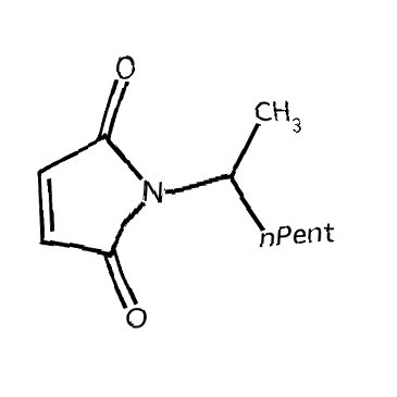 CCCCCC(C)N1C(=O)C=CC1=O